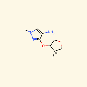 C[C@H]1COCC1Oc1nn(C)cc1N